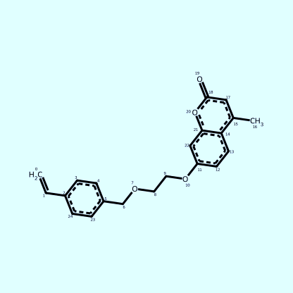 C=Cc1ccc(COCCOc2ccc3c(C)cc(=O)oc3c2)cc1